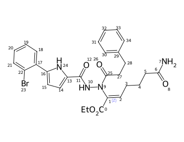 CCOC(=O)/C(=C/CCCC(N)=O)N(NC(=O)c1ccc(-c2ccccc2Br)[nH]1)C(=O)CCc1ccccc1